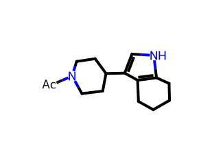 CC(=O)N1CCC(c2c[nH]c3c2CCCC3)CC1